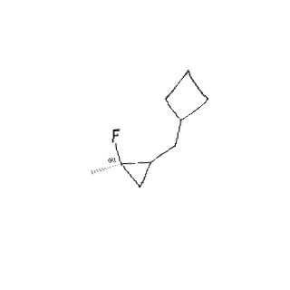 C[C@@]1(F)CC1CC1CCC1